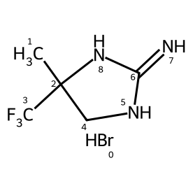 Br.CC1(C(F)(F)F)CNC(=N)N1